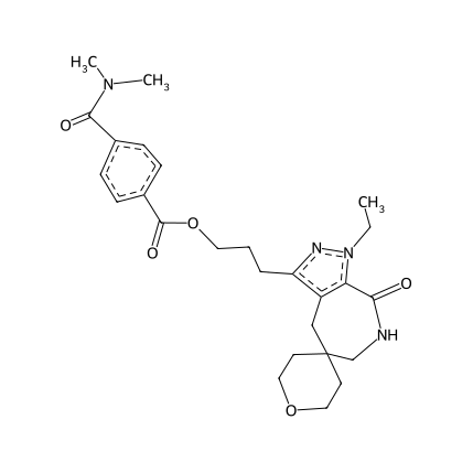 CCn1nc(CCCOC(=O)c2ccc(C(=O)N(C)C)cc2)c2c1C(=O)NCC1(CCOCC1)C2